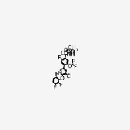 CS(=O)(=O)NC(=O)c1cc(OC(F)F)c(-c2cnc(Oc3c(F)ccc(F)c3F)c(Cl)c2)cc1F